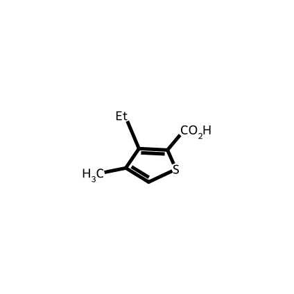 CCc1c(C)csc1C(=O)O